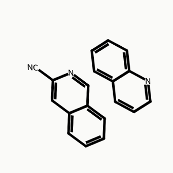 N#Cc1cc2ccccc2cn1.c1ccc2ncccc2c1